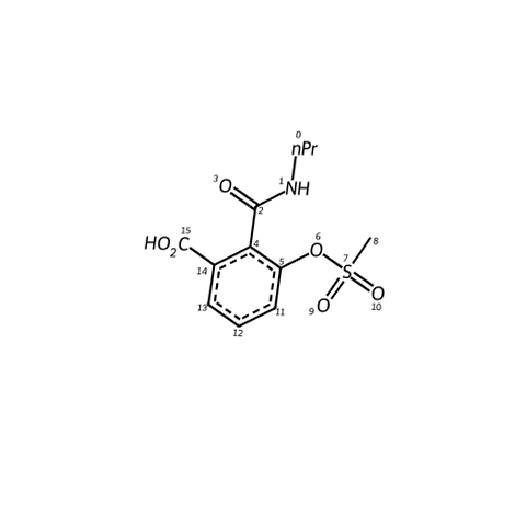 CCCNC(=O)c1c(OS(C)(=O)=O)cccc1C(=O)O